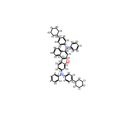 c1ccc(N(c2ccc(C3CCCCC3)cc2)c2ccc3c(c2)oc2cc(N(c4ccccc4)c4ccc(C5CCCCC5)cc4)c4ccccc4c23)cc1